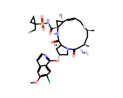 COc1cc2ccnc(O[C@@H]3C[C@H]4C(=O)N[C@]5(C(=O)NS(=O)(=O)C6(CF)CC6)C[C@H]5/C=C\CC[C@@H](C)C[C@@H](C)[C@H](N)C(=O)N4C3)c2cc1F